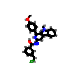 COc1ccc(-c2nc(NC(=O)c3cccc(CCl)c3)cc3c4ccccc4n(C)c23)cc1